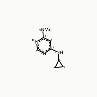 CNc1cc(NC2CC2)ncn1